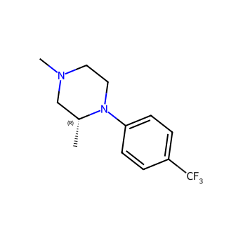 C[C@@H]1CN(C)CCN1c1ccc(C(F)(F)F)cc1